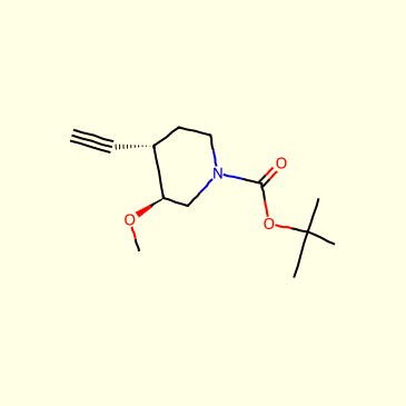 C#C[C@@H]1CCN(C(=O)OC(C)(C)C)C[C@H]1OC